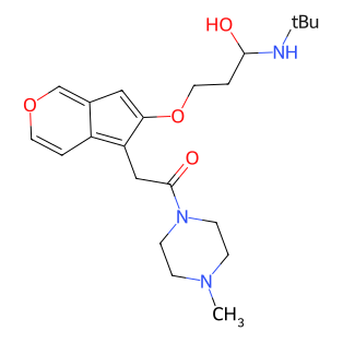 CN1CCN(C(=O)Cc2c(OCCC(O)NC(C)(C)C)cc3coccc2-3)CC1